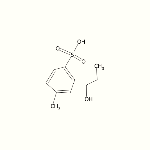 CCCO.Cc1ccc(S(=O)(=O)O)cc1